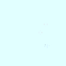 CCCCC[CH2][Al+2].CC[O-].CC[O-]